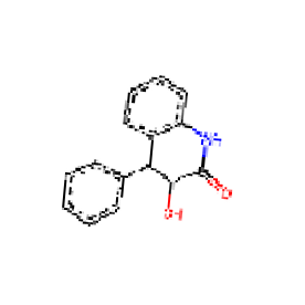 O=C1Nc2ccccc2C(c2ccccc2)C1O